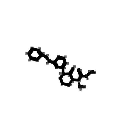 CC(=O)O[C@@H](C(=O)OC(C)(C)C)[C@H]1OCCN(c2cccc(OCc3ccccc3)c2)C1=O